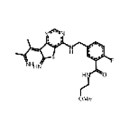 COCCNC(=O)c1cc(CNc2ncnc3c2SC(=N)/C3=C(/C)C(C)=N)ccc1F